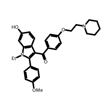 CCn1c(-c2ccc(OC)cc2)c(C(=O)c2ccc(OCCN3CCCCC3)cc2)c2ccc(O)cc21